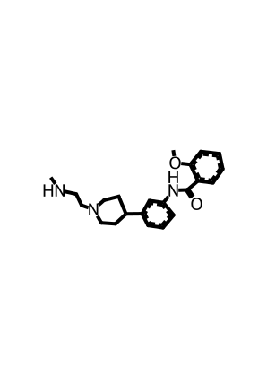 CNCCN1CCC(c2cccc(NC(=O)c3ccccc3OC)c2)CC1